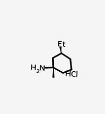 CC[C@H]1CCC[C@](C)(N)C1.Cl